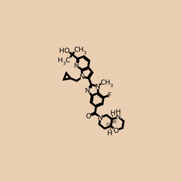 Cn1c(-c2cc3ccc(C(C)(C)O)nc3n2CC2CC2)nc2cc(C(=O)N3CC[C@@H]4OCCN[C@@H]4C3)cc(F)c21